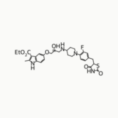 CCOC(=O)c1c(C)[nH]c2ccc(OC[C@H](O)CNC3CCN(c4ccc(CC5SC(=O)NC5=O)cc4F)CC3)cc12